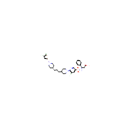 O=C(O)CC(NS(=O)(=O)c1cnc(N2CCC(CCCC3CCN(S(=O)(=O)c4cc(Br)c(Cl)s4)CC3)CC2)c(Br)c1)c1ccccc1